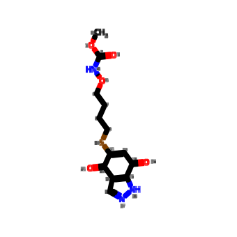 COC(=O)NOCCCCSC1=CC(=O)c2[nH]ncc2C1=O